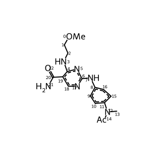 COCCNc1nc(Nc2ccc(N(C)C(C)=O)cc2)ncc1C(N)=O